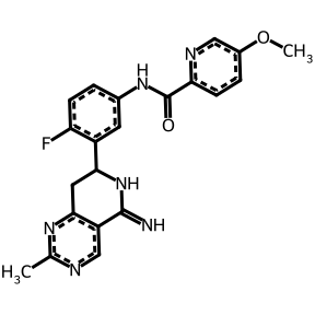 COc1ccc(C(=O)Nc2ccc(F)c(C3Cc4nc(C)ncc4C(=N)N3)c2)nc1